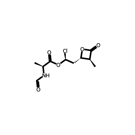 C[C@H](NC=O)C(=O)O[C@@H](Cl)C[C@@H]1OC(=O)[C@H]1C